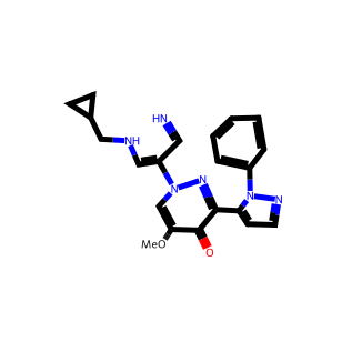 COc1cn(/C(C=N)=C/NCC2CC2)nc(-c2ccnn2-c2ccccc2)c1=O